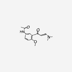 COc1ccc(NC(C)=O)cc1C(=O)C=CN(C)C